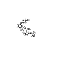 CN1C(=O)[C@@H](NC(=O)c2cc(Oc3ccc(C#N)cc3)ccn2)COc2ccc(C#CC3(O)COC3)cc21